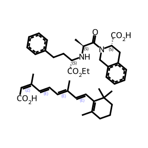 CC1=C(/C=C/C(C)=C/C=C/C(C)=C\C(=O)O)C(C)(C)CCC1.CCOC(=O)[C@H](CCc1ccccc1)N[C@@H](C)C(=O)N1Cc2ccccc2C[C@H]1C(=O)O